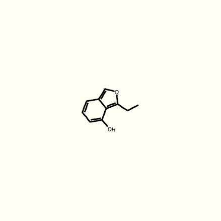 CCc1o[c]c2cccc(O)c12